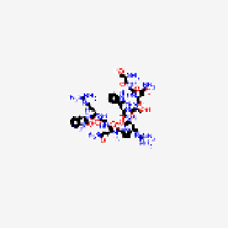 NC(=O)CC[C@H](NC(=O)CNC(=O)[C@@H](N)CO)C(=O)N[C@@H](CO)C(=O)N[C@@H](Cc1c[nH]c2ccccc12)C(=O)N[C@@H](CCCN=C(N)N)C(=O)N1CCC[C@H]1C(=O)N[C@@H](CCC(N)=O)C(=O)NCC(=O)N[C@@H](CCCN=C(N)N)C(=O)N[C@@H](Cc1ccccc1)C(N)=O